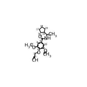 C#CCOc1c(OC)cc(C(=O)NC(C)C2CCCC2)cc1OC